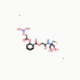 CC(CO)(CO)NC(=O)COC(=O)c1ccccc1OC(=O)CON(O)O